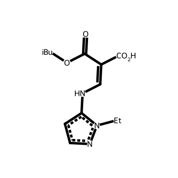 CCC(C)OC(=O)C(=CNc1ccnn1CC)C(=O)O